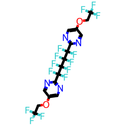 FC(F)(F)COc1cnc(C(F)(F)C(F)(F)C(F)(F)C(F)(F)c2ncc(OCC(F)(F)F)cn2)nc1